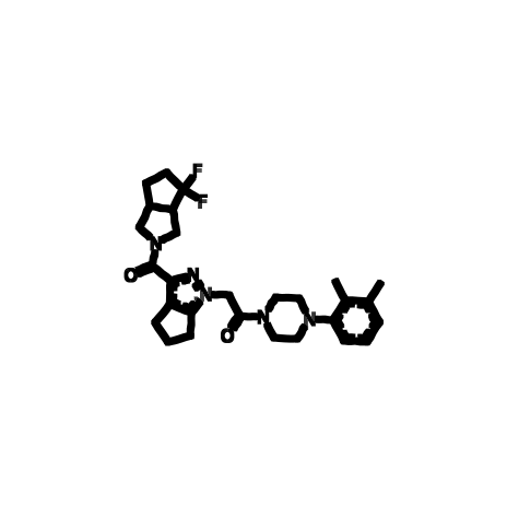 Cc1cccc(N2CCN(C(=O)Cn3nc(C(=O)N4CC5CCC(F)(F)C5C4)c4c3CCC4)CC2)c1C